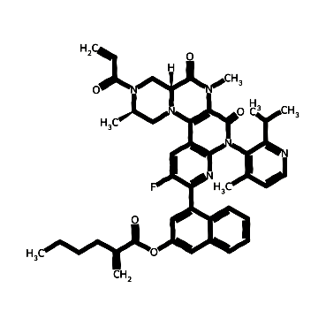 C=CC(=O)N1C[C@@H]2C(=O)N(C)c3c(c4cc(F)c(-c5cc(OC(=O)C(=C)CCCC)cc6ccccc56)nc4n(-c4c(C)ccnc4C(C)C)c3=O)N2C[C@H]1C